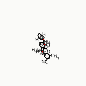 Cc1cc(C#N)cc(C)c1Oc1nc(NC2C[C@H]3CC[C@@H](C2)N3Cc2ccc(C(N)=O)cc2Cl)ncc1Br